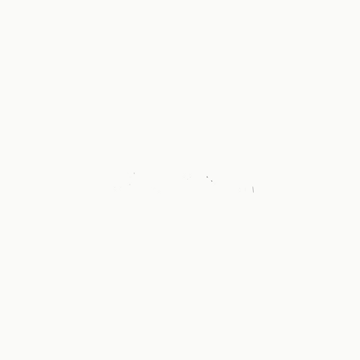 COC(=O)Cc1ccc(Oc2cccc(CO)n2)cc1